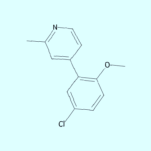 COc1ccc(Cl)cc1-c1ccnc(C)c1